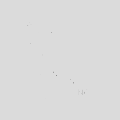 O=[N+]([O-])N=c1ccccn1Cc1ccc(Br)cc1